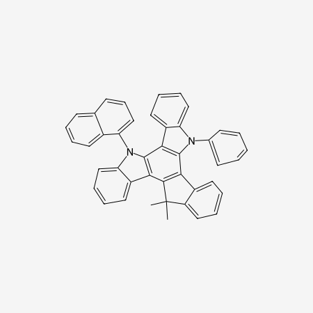 CC1(C)c2ccccc2-c2c1c1c3ccccc3n(-c3cccc4ccccc34)c1c1c3ccccc3n(-c3ccccc3)c21